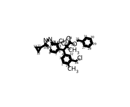 Cc1ccc(C(c2ccn3c(C4CC4)nnc3c2C)C(C)(C)C(=O)OCc2ccccc2)cc1CCl